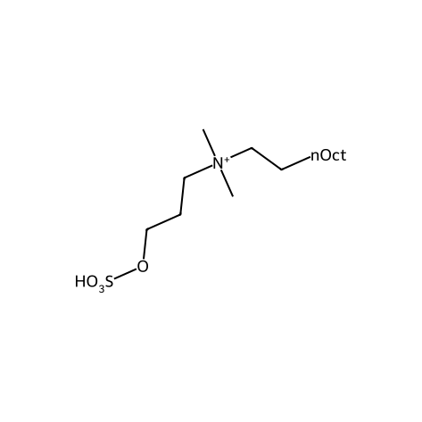 CCCCCCCCCC[N+](C)(C)CCCOS(=O)(=O)O